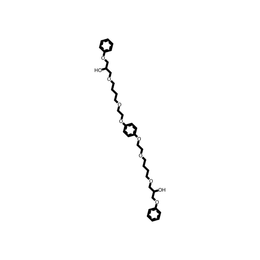 OC(COCCCCOCCOc1ccc(OCCOCCCCOCC(O)COc2ccccc2)cc1)COc1ccccc1